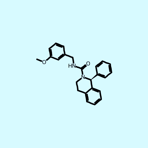 COc1cccc(CNC(=O)N2CCc3ccccc3[C@@H]2c2ccccc2)c1